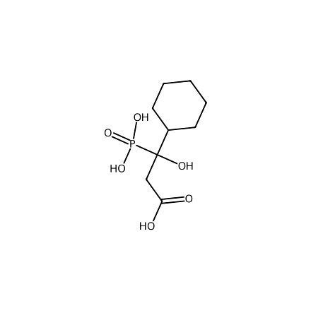 O=C(O)CC(O)(C1CCCCC1)P(=O)(O)O